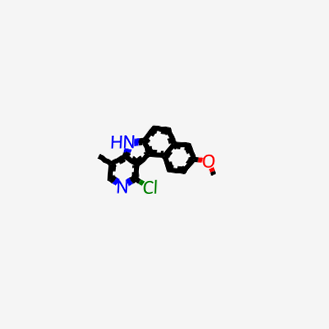 COc1ccc2c(ccc3[nH]c4c(C)cnc(Cl)c4c32)c1